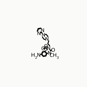 CN1C(=O)N(CCCN2CCN(c3ncccn3)CC2)S(=O)(=O)c2cc(N)ccc21